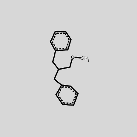 [SiH3]OCC(Cc1ccccc1)Cc1ccccc1